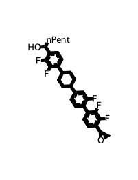 CCCCCC(O)c1ccc(C2CCC(c3ccc(-c4ccc(C5CO5)c(F)c4F)c(F)c3)CC2)c(F)c1F